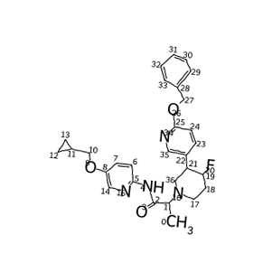 CC(C(=O)Nc1ccc(OCC2CC2)cn1)N1CCC(F)C(c2ccc(OCc3ccccc3)nc2)C1